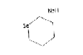 C1CC[Se]CC1.[NaH]